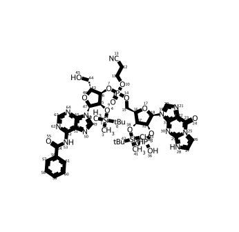 CC(C)(C)[Si](C)(C)O[C@@H]1[C@H](OP(=O)(OCCC#N)OC[C@H]2O[C@@H](n3cnc4c(=O)n5cc[nH]c5nc43)[C@H](O[PH](=O)O)[C@@H]2O[Si](C)(C)C(C)(C)C)[C@@H](CO)O[C@H]1n1cnc2c(NC(=O)c3ccccc3)ncnc21